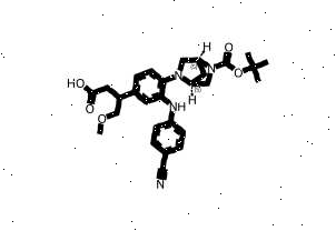 COCC(CC(=O)O)c1ccc(N2C[C@@H]3C[C@H]2CN3C(=O)OC(C)(C)C)c(Nc2ccc(C#N)cc2)c1